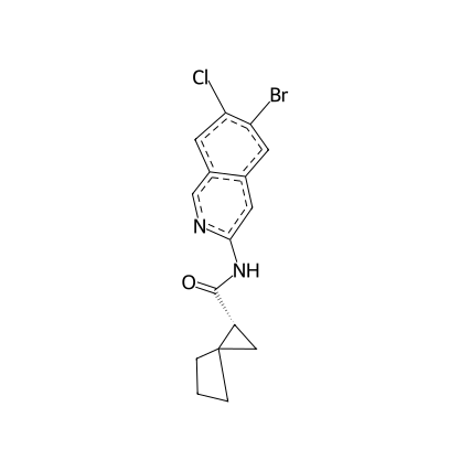 O=C(Nc1cc2cc(Br)c(Cl)cc2cn1)[C@@H]1CC12CCC2